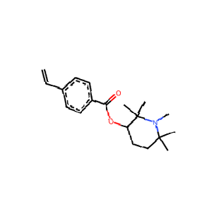 C=Cc1ccc(C(=O)OC2CCC(C)(C)N(C)C2(C)C)cc1